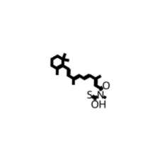 CC(C=CC1=C(C)CCCC1(C)C)=CC=CC(C)=CC(=O)N(C)C(O)=S